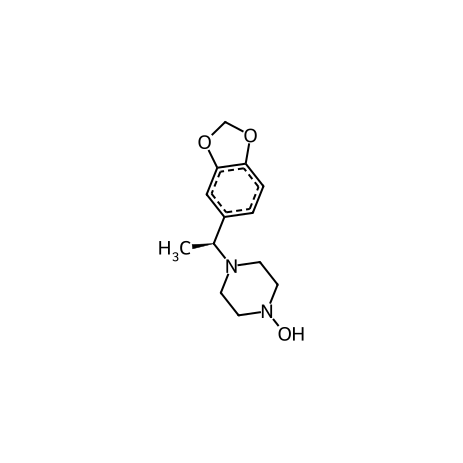 C[C@@H](c1ccc2c(c1)OCO2)N1CCN(O)CC1